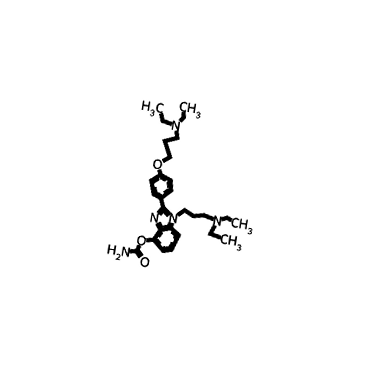 CCN(CC)CCCOc1ccc(-c2nc3c(OC(N)=O)cccc3n2CCCN(CC)CC)cc1